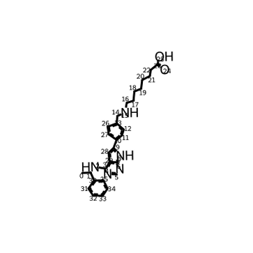 CC(Nc1ncnc2[nH]c(-c3ccc(CNCCCCCCCC(=O)O)cc3)cc12)c1ccccc1